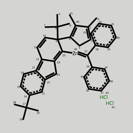 CC1=CCC(C2(C(C)(C)C)C=CC3=c4ccc(C(C)(C)C)cc4=CC3=[C]2[Zr]=[C](c2ccccc2)c2ccccc2)=C1C.Cl.Cl